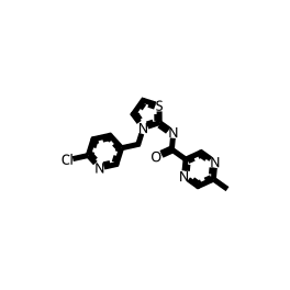 Cc1cnc(C(=O)/N=c2/sccn2Cc2ccc(Cl)nc2)cn1